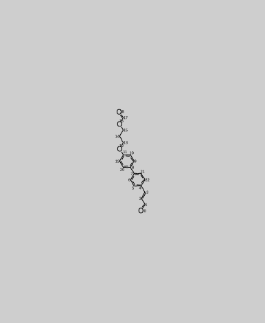 O=C/C=C/c1ccc(-c2ccc(OCCCOC=O)cc2)cc1